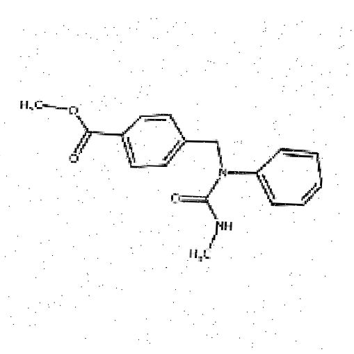 CNC(=O)N(Cc1ccc(C(=O)OC)cc1)c1ccccc1